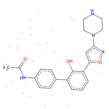 O=C(Nc1ccc(-c2cccc(-c3cc(N4CCNCC4)no3)c2O)cc1)C(F)(F)F